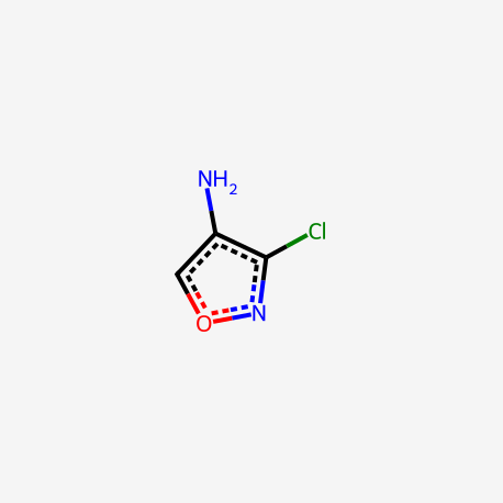 Nc1conc1Cl